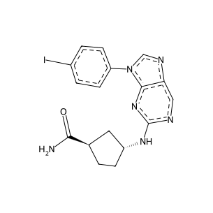 NC(=O)[C@@H]1CC[C@@H](Nc2ncc3ncn(-c4ccc(I)cc4)c3n2)C1